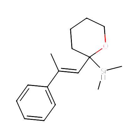 CC(=CC1([SiH](C)C)CCCCO1)c1ccccc1